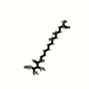 CC(C(=O)O)C(C)C(=O)NCCCCCCNCNCCN(C(C)C)C(C)C